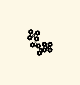 c1ccc(B2c3ccccc3-c3ccccc3N2c2cccc(-n3c4ccccc4c4cc(-n5c6ccccc6c6ccc([Si](c7ccccc7)(c7ccccc7)c7ccccc7)cc65)ccc43)c2)cc1